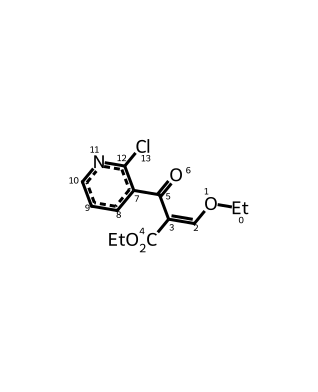 CCO/C=C(/C(=O)OCC)C(=O)c1cccnc1Cl